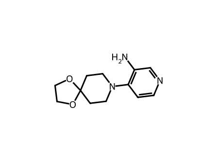 Nc1cnccc1N1CCC2(CC1)OCCO2